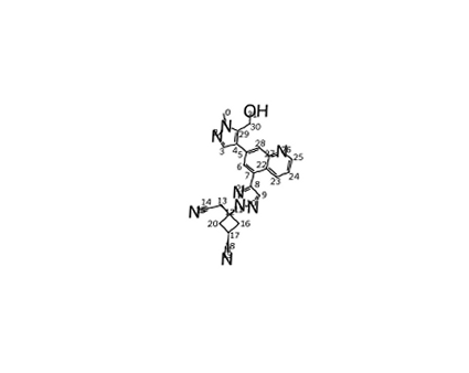 Cn1ncc(-c2cc(-c3cnn([C@]4(CC#N)C[C@@H](C#N)C4)n3)c3cccnc3c2)c1CO